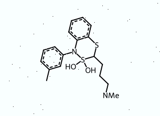 CNCCCC1Sc2ccccc2N(c2cccc(C)c2)S1(O)O